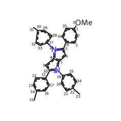 COc1ccc(-c2cc3c(cc(-c4ccc(C)cc4)n3-c3ccc(C)cc3)n2-c2ccc(C)cc2)cc1